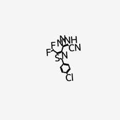 N#Cc1[nH]nnc1-c1nc(-c2ccc(Cl)cc2)sc1C(F)F